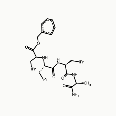 CC(C)CC(N[C@@H](CC(C)C)C(=O)N[C@@H](CC(C)C)C(=O)N[C@@H](C)C(N)=O)C(=O)OCc1ccccc1